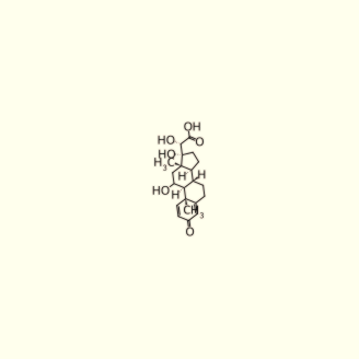 C[C@]12C=CC(=O)C=C1CC[C@@H]1[C@@H]2C(O)C[C@@]2(C)[C@H]1CC[C@]2(O)[C@H](O)C(=O)O